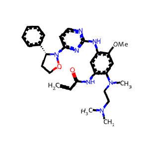 C=CC(=O)Nc1cc(Nc2nccc(N3OCC[C@@H]3c3ccccc3)n2)c(OC)cc1N(C)CCN(C)C